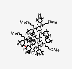 COCCCN(c1nc(NC(C)CN(c2nc(N(CCCOC)C3CC(C)(C)NC(C)(C)C3)nc(N(CCCOC)C3CC(C)(C)NC(C)(C)C3)n2)C(C)CN(c2nc(N(CCCOC)C3CC(C)(C)NC(C)(C)C3)nc(N(CCCOC)C3CC(C)(C)NC(C)(C)C3)n2)C2CC(C)(C)NC(C)(C)C2)nc(N(CCCOC)C2CC(C)(C)NC(C)(C)C2)n1)C1CC(C)(C)NC(C)(C)C1